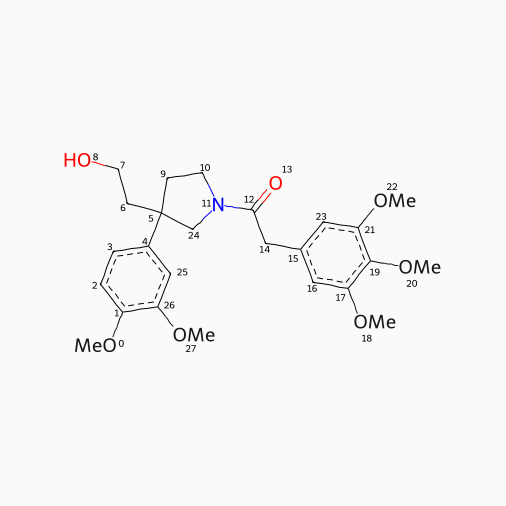 COc1ccc(C2(CCO)CCN(C(=O)Cc3cc(OC)c(OC)c(OC)c3)C2)cc1OC